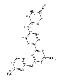 Cc1cc(Nc2nccc(C(F)(F)F)n2)cc(-c2cnc(NC3CCC(=O)NC3)nc2)c1